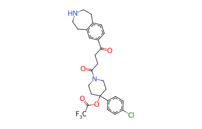 O=C(CCC(=O)N1CCC(OC(=O)C(F)(F)F)(c2ccc(Cl)cc2)CC1)c1ccc2c(c1)CCNCC2